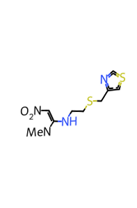 CNC(=C[N+](=O)[O-])NCCSCc1cscn1